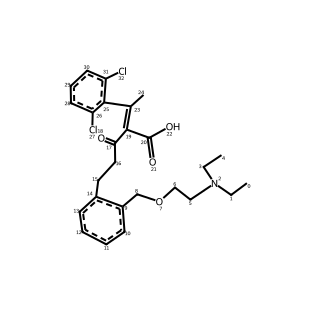 CCN(CC)CCOCc1ccccc1CCC(=O)C(C(=O)O)=C(C)c1c(Cl)cccc1Cl